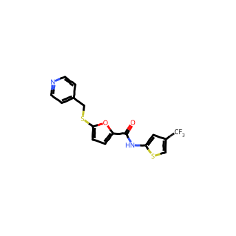 O=C(Nc1cc(C(F)(F)F)cs1)c1ccc(SCc2ccncc2)o1